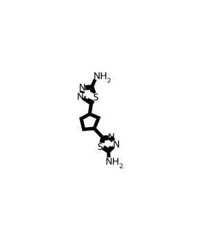 Nc1nnc(C2CCC(c3nnc(N)s3)C2)s1